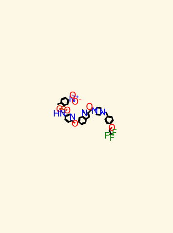 Cc1ccc([N+](=O)[O-])cc1S(=O)(=O)Nc1ccc(Oc2ccc3cc(C(=O)N4CCN(Cc5ccc(OCC(F)(F)F)cc5)CC4)n(C)c3c2)nc1